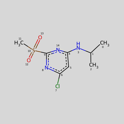 CC(C)Nc1cc(Cl)nc(S(C)(=O)=O)n1